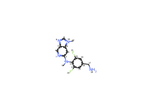 CN(c1cc2c(cn1)ncn2C)c1c(F)cc(CN)cc1F